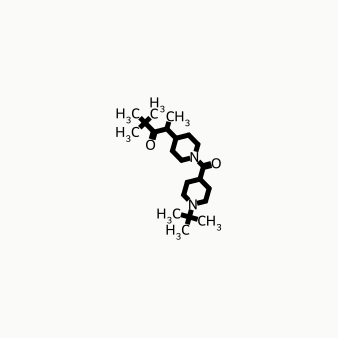 CC(C(=O)C(C)(C)C)C1CCN(C(=O)C2CCN(C(C)(C)C)CC2)CC1